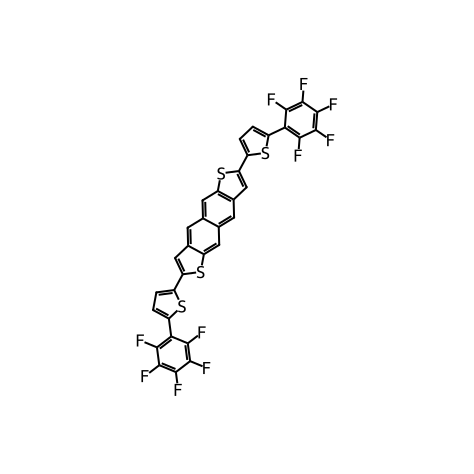 Fc1c(F)c(F)c(-c2ccc(-c3cc4cc5cc6sc(-c7ccc(-c8c(F)c(F)c(F)c(F)c8F)s7)cc6cc5cc4s3)s2)c(F)c1F